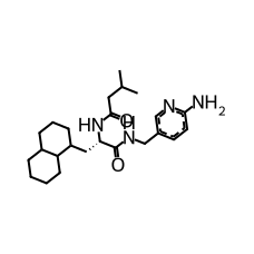 CC(C)CC(=O)N[C@@H](CC1CCCC2CCCCC21)C(=O)NCc1ccc(N)nc1